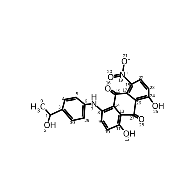 CC(O)c1ccc(Nc2ccc(O)c3c2C(=O)c2c([N+](=O)[O-])ccc(O)c2C3=O)cc1